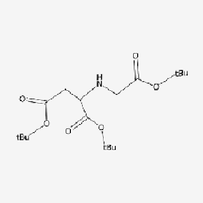 CC(C)(C)OC(=O)CNC(CC(=O)OC(C)(C)C)C(=O)OC(C)(C)C